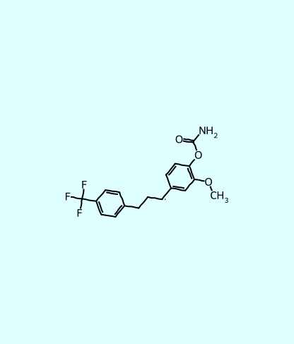 COc1cc([CH]CCc2ccc(C(F)(F)F)cc2)ccc1OC(N)=O